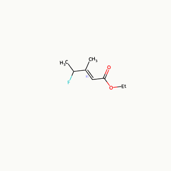 CCOC(=O)/C=C(\C)C(C)F